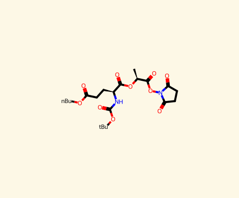 CCCCOC(=O)CC[C@H](NC(=O)OC(C)(C)C)C(=O)O[C@@H](C)C(=O)ON1C(=O)CCC1=O